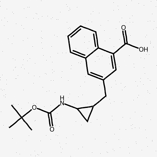 CC(C)(C)OC(=O)NC1CC1Cc1cc(C(=O)O)c2ccccc2c1